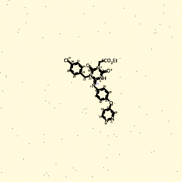 CCOC(=O)Cn1c(=O)[nH]/c(=N\c2ccc(Oc3ccnnc3)cc2)n(Cc2ccc(Cl)cc2)c1=O